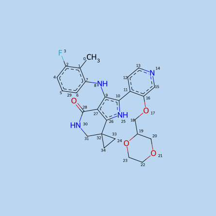 Cc1c(F)cccc1Nc1c(-c2ccncc2OCC2COCCO2)[nH]c2c1C(=O)NCC21CC1